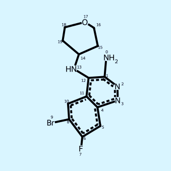 Nc1nnc2cc(F)c(Br)cc2c1NC1CCOCC1